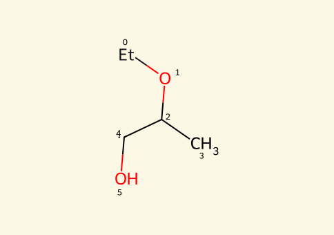 CCOC(C)[CH]O